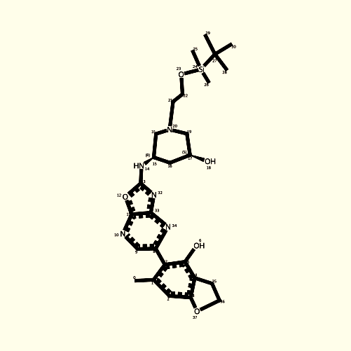 Cc1cc2c(c(O)c1-c1cnc3oc(N[C@@H]4C[C@H](O)CN(CCO[Si](C)(C)C(C)(C)C)C4)nc3n1)CCO2